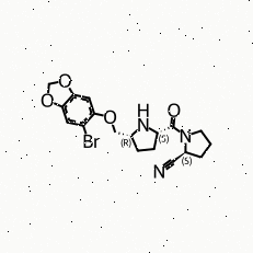 N#C[C@@H]1CCCN1C(=O)[C@@H]1CC[C@H](COc2cc3c(cc2Br)OCO3)N1